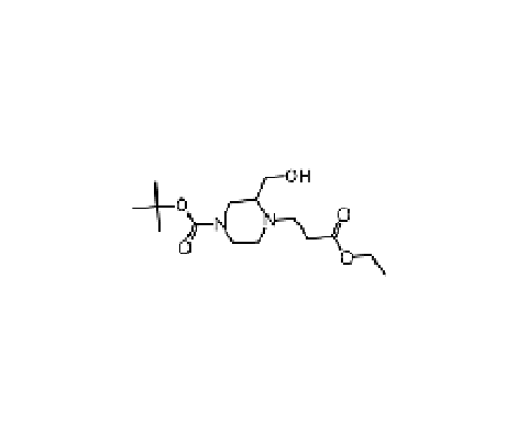 CCOC(=O)CCN1CCN(C(=O)OC(C)(C)C)CC1CO